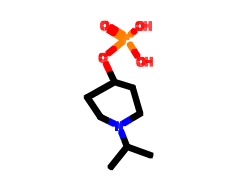 CC(C)N1CCC(OP(=O)(O)O)CC1